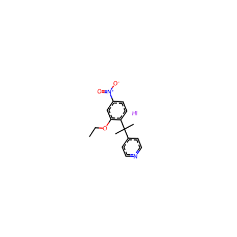 CCOc1cc([N+](=O)[O-])ccc1C(C)(C)c1ccncc1.I